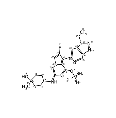 [2H]C([2H])([2H])Oc1nc(NC2CCC(C)(O)CC2)nn2cc(F)c(-c3ccc4nnn(CC(F)(F)F)c4c3)c12